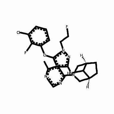 Cc1cc(N2C[C@H]3CC[C@@H](C2)C3Nc2nc(Oc3cccc(Cl)c3F)n(CCF)n2)ncn1